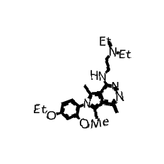 CCOc1ccc(-n2c(C)c3c(C)nnc(NCCN(CC)CC)c3c2C)c(OC)c1